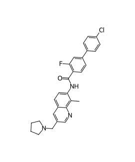 Cc1c(NC(=O)c2ccc(-c3ccc(Cl)cc3)cc2F)ccc2cc(CN3CCCC3)cnc12